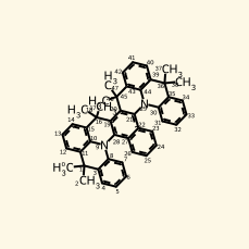 CC1(C)c2ccccc2N2c3c1cccc3C(C)(C)c1c3c(c4ccccc4c12)N1c2ccccc2C(C)(C)c2cccc(c21)C3(C)C